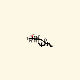 CCCC(C)(C)C(CC(C)(C)CC)C(=O)OCC(F)(F)C(F)(F)C(F)(F)C(F)(C(F)(F)F)C(F)(F)F